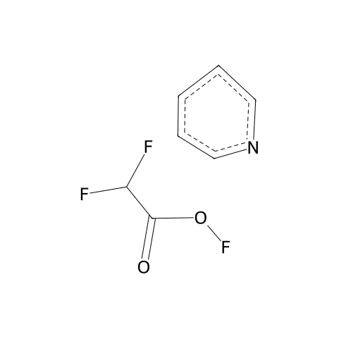 O=C(OF)C(F)F.c1ccncc1